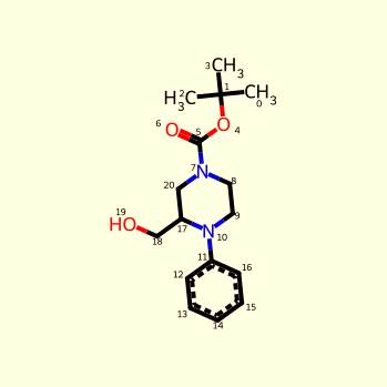 CC(C)(C)OC(=O)N1CCN(c2ccccc2)C(CO)C1